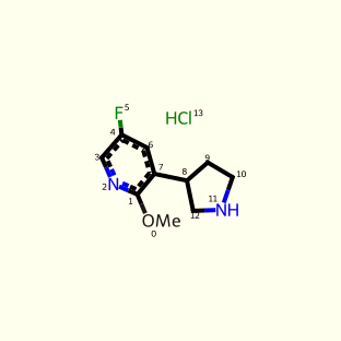 COc1ncc(F)cc1C1CCNC1.Cl